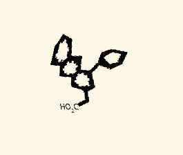 O=C(O)Cc1cc(C2CC3C=CC2C3)c2cc3ccccc3cc2c1